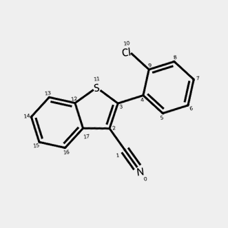 N#Cc1c(-c2ccccc2Cl)sc2ccccc12